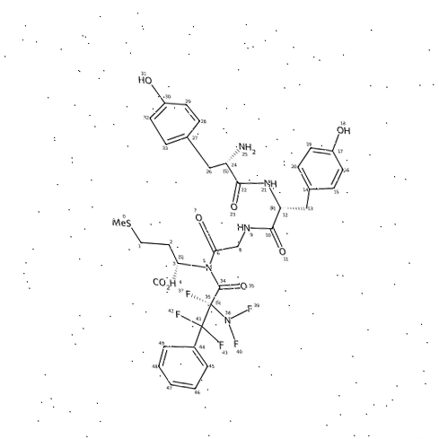 CSCC[C@@H](C(=O)O)N(C(=O)CNC(=O)[C@@H](Cc1ccc(O)cc1)NC(=O)[C@@H](N)Cc1ccc(O)cc1)C(=O)[C@@](F)(N(F)F)C(F)(F)c1ccccc1